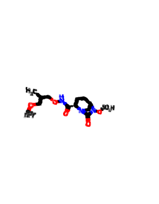 CCCOCC(C)CONC(=O)[C@@H]1CCC2CN1C(=O)N2OS(=O)(=O)O